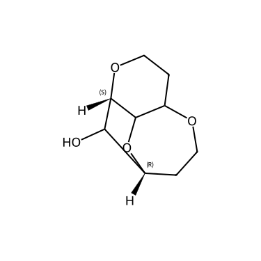 OC1[C@@H]2OCCC3OCC[C@H]1OC32